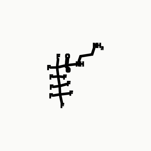 NCCNS(=O)(=O)C(F)(F)C(F)(F)C(F)(F)C(F)(F)F